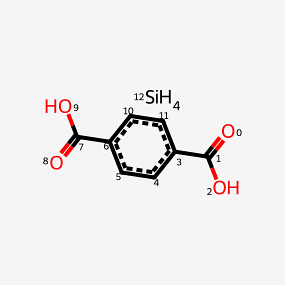 O=C(O)c1ccc(C(=O)O)cc1.[SiH4]